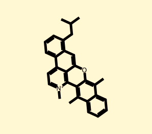 Cc1c2c(c(C)c3ccccc13)-c1c3c(cc4c(CC(C)C)cccc4c3cc[n+]1C)O2